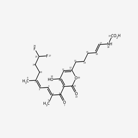 CC(=CC=C(C)C(=O)c1c(O)cc(CCCC=CNC(=O)O)oc1=O)CCC(F)F